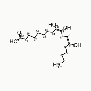 CCCCC/C(O)=C\C/C(O)=C(/O)CCCCCCCC(=O)O